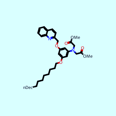 CCCCCCCCCCCCCCCCCCOc1cc(OCc2ccc3ccccc3n2)cc(N(CC(=O)OC)CC(=O)OC)c1